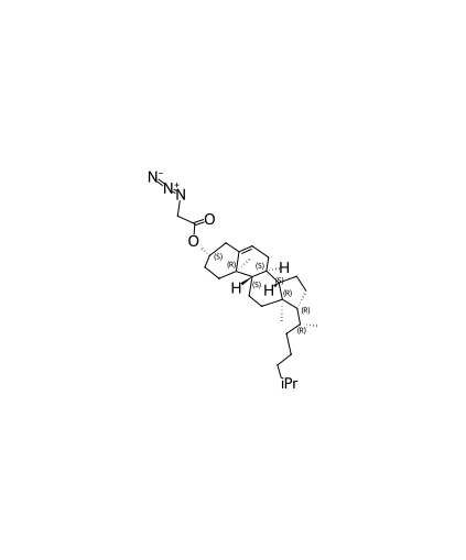 CC(C)CCC[C@@H](C)[C@H]1CC[C@H]2[C@@H]3CC=C4C[C@@H](OC(=O)CN=[N+]=[N-])CC[C@]4(C)[C@H]3CC[C@]12C